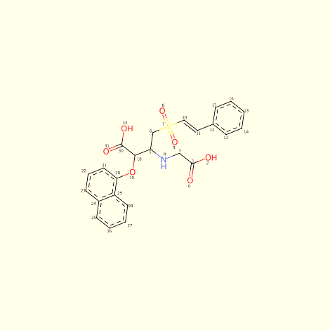 O=C(O)CNC(CS(=O)(=O)C=Cc1ccccc1)C(Oc1cccc2ccccc12)C(=O)O